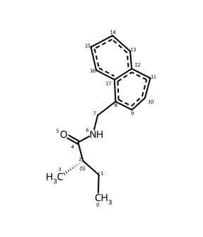 C[CH][C@H](C)C(=O)NCc1cccc2ccccc12